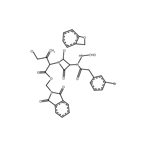 C=C(CCl)C(C(=O)OCN1C(=O)c2ccccc2C1=O)N1C(=O)C(N(NC=O)C(=O)Cc2cccc(Br)c2)C1Cl.c1ccc2c(c1)CO2